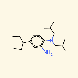 CCC(CC)c1ccc(N(CC(C)C)CC(C)C)c(N)c1